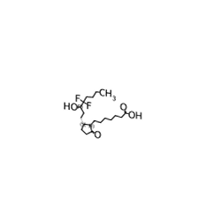 CCCCC(F)(F)[C@H](O)CC[C@H]1CCC(=O)[C@@H]1CCCCCCC(=O)O